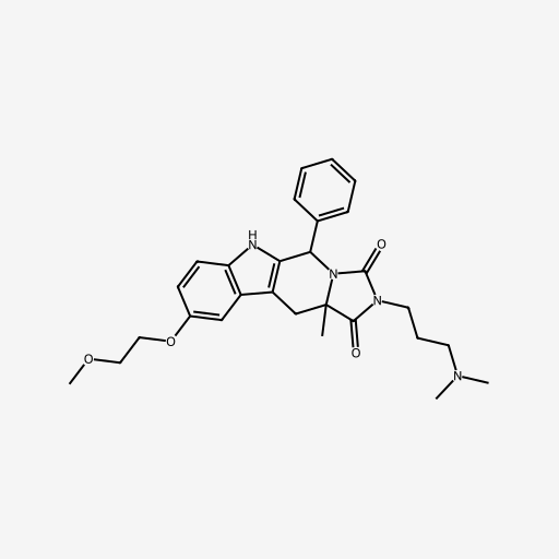 COCCOc1ccc2[nH]c3c(c2c1)CC1(C)C(=O)N(CCCN(C)C)C(=O)N1C3c1ccccc1